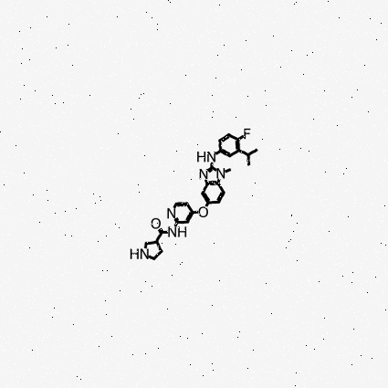 CC(C)c1cc(Nc2nc3cc(Oc4ccnc(NC(=O)C5CCNC5)c4)ccc3n2C)ccc1F